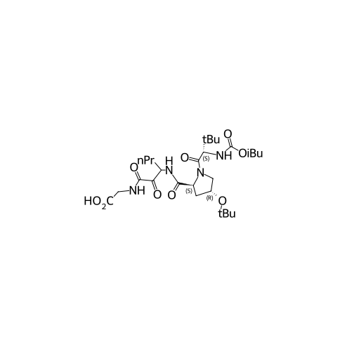 CCCC(NC(=O)[C@@H]1C[C@@H](OC(C)(C)C)CN1C(=O)[C@@H](NC(=O)OCC(C)C)C(C)(C)C)C(=O)C(=O)NCC(=O)O